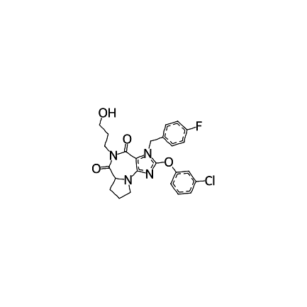 O=C1c2c(nc(Oc3cccc(Cl)c3)n2Cc2ccc(F)cc2)N2CCCC2C(=O)N1CCCO